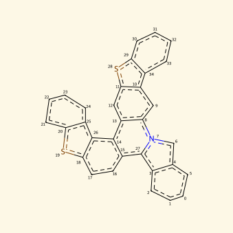 c1ccc2c(c1)cn1c3cc4c(cc3c3c(ccc5sc6ccccc6c53)c21)sc1ccccc14